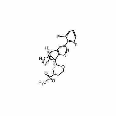 CC1(C)[C@H]2CC[C@]1([C@H]1CN(S(C)(=O)=O)CCO1)c1nnc(-c3c(F)cccc3F)cc12